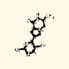 CC1Cn2cc(-c3nc(Cl)ncc3F)cc2C(=O)N1